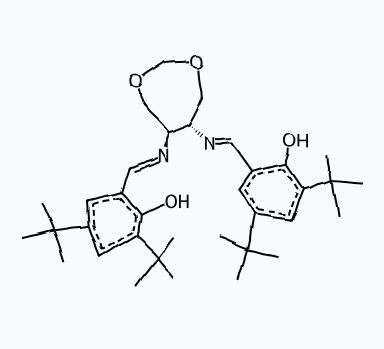 CC(C)(C)c1cc(C=N[C@H]2COCOC[C@@H]2N=Cc2cc(C(C)(C)C)cc(C(C)(C)C)c2O)c(O)c(C(C)(C)C)c1